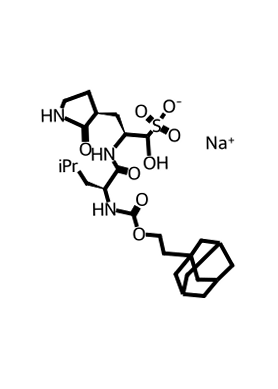 CC(C)C[C@H](NC(=O)OCCC12CC3CC(CC(C3)C1)C2)C(=O)N[C@@H](C[C@@H]1CCNC1=O)C(O)S(=O)(=O)[O-].[Na+]